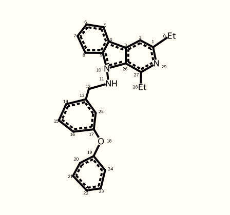 CCc1cc2c3ccccc3n(NCc3cccc(Oc4ccccc4)c3)c2c(CC)n1